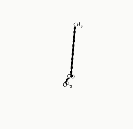 CC#CC#CC#CC#CC#CC#CC#CC#CC#CC#CC#CC(=O)OCCCCC